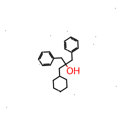 OC(Cc1ccccc1)(Cc1ccccc1)CC1CCCCC1